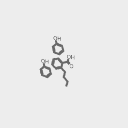 CCCCc1ccccc1C(=O)O.Oc1ccccc1.Oc1ccccc1